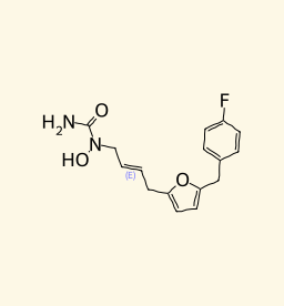 NC(=O)N(O)C/C=C/Cc1ccc(Cc2ccc(F)cc2)o1